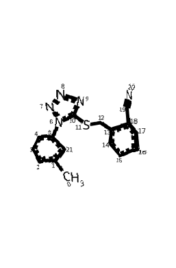 Cc1cccc(-n2nnnc2SCc2ccccc2C#N)c1